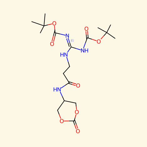 CC(C)(C)OC(=O)/N=C(\NCCC(=O)NC1COC(=O)OC1)NC(=O)OC(C)(C)C